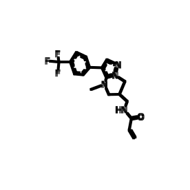 C=CC(=O)NCC1CN(C)c2c(-c3ccc(C(F)(F)F)cc3)cnn2C1